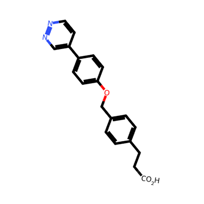 O=C(O)CCc1ccc(COc2ccc(-c3ccnnc3)cc2)cc1